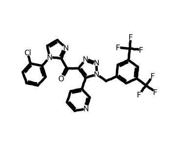 O=C(c1nnn(Cc2cc(C(F)(F)F)cc(C(F)(F)F)c2)c1-c1cccnc1)c1nccn1-c1ccccc1Cl